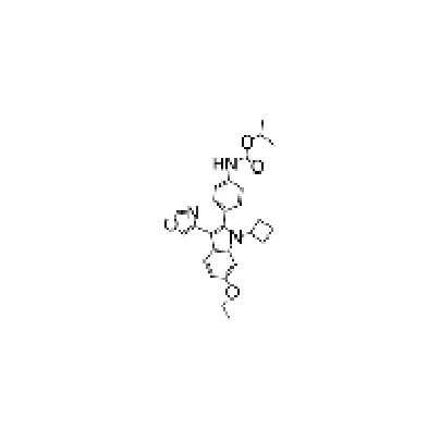 CCOc1ccc2c(-c3cocn3)c(-c3ccc(NC(=O)OC(C)C)cc3)n(C3CCC3)c2c1